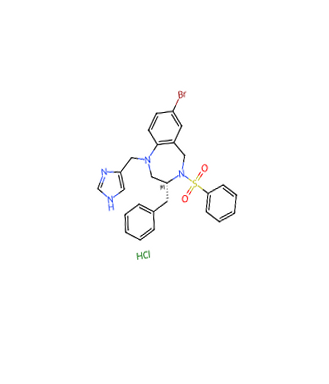 Cl.O=S(=O)(c1ccccc1)N1Cc2cc(Br)ccc2N(Cc2c[nH]cn2)C[C@H]1Cc1ccccc1